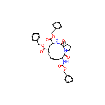 O=C(N[C@H]1CC=CC[C@H](C(=O)OCc2ccccc2)C[C@@H](C(=O)OCc2ccccc2)NC(=O)[C@@H]2CCCN2C1=O)OCc1ccccc1